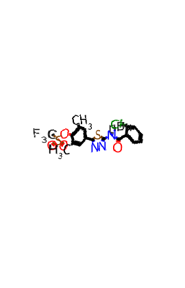 CCCCN(C(=O)c1ccccc1Cl)c1nnc(-c2cc(C)c(OS(=O)(=O)C(F)(F)F)c(C)c2)s1